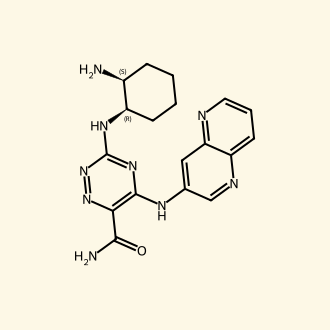 NC(=O)c1nnc(N[C@@H]2CCCC[C@@H]2N)nc1Nc1cnc2cccnc2c1